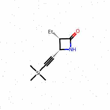 CC[C@@H]1C(=O)N[C@@H]1C#C[Si](C)(C)C